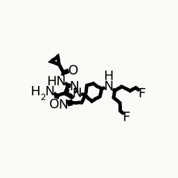 N#CCC1(n2cc(C(N)=O)c(NC(=O)C3CC3)n2)CCC(NC(CCCF)CCCF)CC1